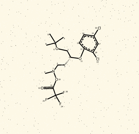 CN(CC[C@H](COC(C)(C)C)Oc1ccc(Cl)cc1Cl)OC(=O)C(F)(F)F